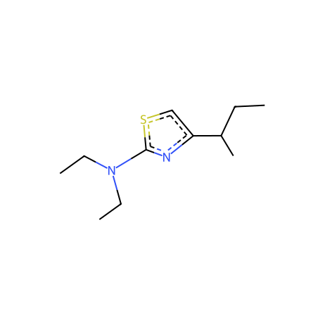 CCC(C)c1csc(N(CC)CC)n1